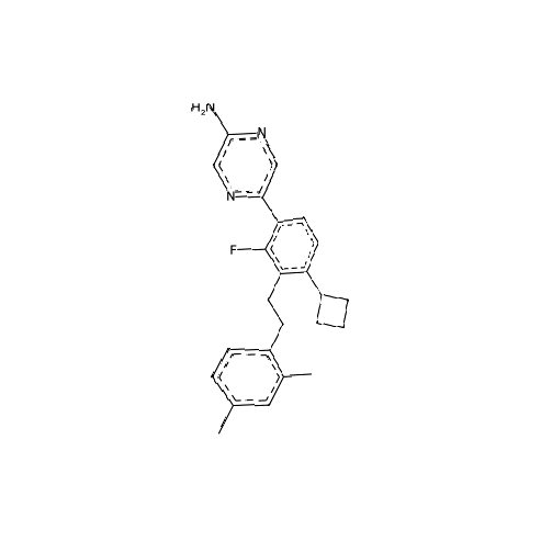 Cc1ccc(CCc2c(C3CCC3)ccc(-c3cnc(N)cn3)c2F)c(C)c1